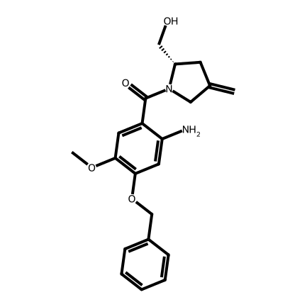 C=C1C[C@@H](CO)N(C(=O)c2cc(OC)c(OCc3ccccc3)cc2N)C1